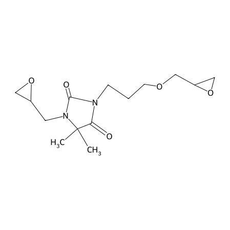 CC1(C)C(=O)N(CCCOCC2CO2)C(=O)N1CC1CO1